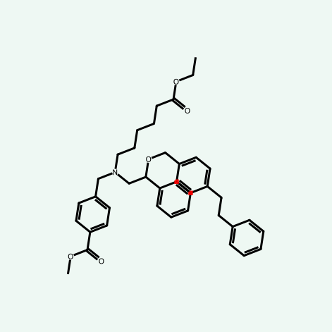 CCOC(=O)CCCCCN(Cc1ccc(C(=O)OC)cc1)CC(OCc1ccc(CCc2ccccc2)cc1)c1ccccc1